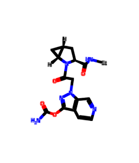 CCNC(=O)[C@@H]1C[C@H]2C[C@H]2N1C(=O)Cn1nc(OC(N)=O)c2ccncc21